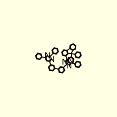 c1ccc(-c2cc(-c3cccc(-c4cccc(-c5nc(-c6ccccc6)nc(-c6cccc7c6C(c6ccccc6)(c6ccccc6)c6ccccc6-7)n5)c4)c3)nc(-c3ccccc3)n2)cc1